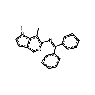 Cc1c(N=C(c2ccccc2)c2ccccc2)ncc2ccn(C)c12